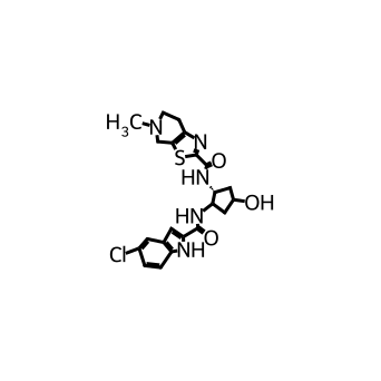 CN1CCc2nc(C(=O)N[C@@H]3CC(O)CC3NC(=O)c3cc4cc(Cl)ccc4[nH]3)sc2C1